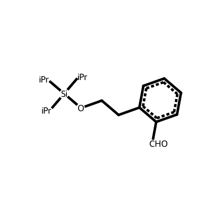 CC(C)[Si](OCCc1ccccc1C=O)(C(C)C)C(C)C